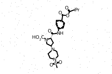 CC(C)C(=O)OC(=O)c1ccc(NC(=O)[C@@H]2C[C@H](N3CCN(S(C)(=O)=O)CC3)CN2C(=O)O)cc1